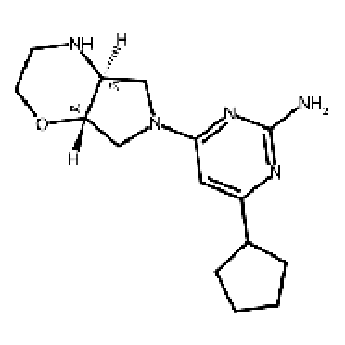 Nc1nc(C2CCCC2)cc(N2C[C@@H]3NCCO[C@H]3C2)n1